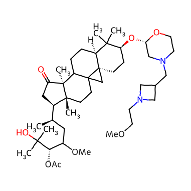 COCCN1CC(CN2CCO[C@@H](O[C@H]3CC[C@]45CC46CC[C@]4(C)[C@@H]([C@H](C)CC(OC)[C@H](OC(C)=O)C(C)(C)O)CC(=O)[C@@]4(C)C6CC[C@H]5C3(C)C)C2)C1